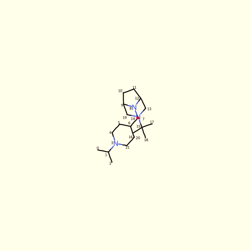 CC(C)N1CCC(CN2C3CCC2CN(C(C)(C)C)C3)CC1